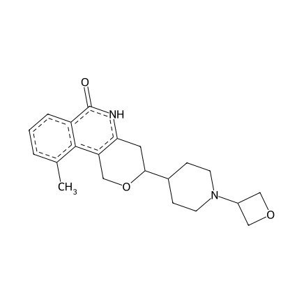 Cc1cccc2c(=O)[nH]c3c(c12)COC(C1CCN(C2COC2)CC1)C3